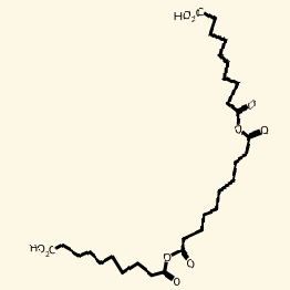 O=C(O)CCCCCCCCC(=O)OC(=O)CCCCCCCCC(=O)OC(=O)CCCCCCCCC(=O)O